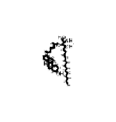 CC(C)CCCC(C)[C@H]1CC[C@H]2[C@@H]3CC=C4C[C@@H](O)CC[C@]4(C)[C@H]3CC[C@]12C.CCCCCCCCCCCCCCC(O)C(O)C(N)CO